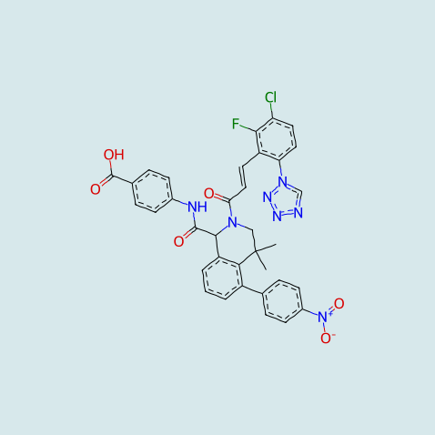 CC1(C)CN(C(=O)C=Cc2c(-n3cnnn3)ccc(Cl)c2F)C(C(=O)Nc2ccc(C(=O)O)cc2)c2cccc(-c3ccc([N+](=O)[O-])cc3)c21